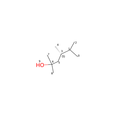 CC(C)[C@@H](C)CC(C)(C)O